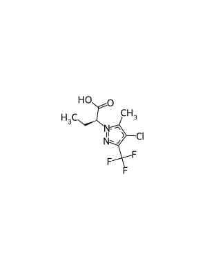 CC[C@@H](C(=O)O)n1nc(C(F)(F)F)c(Cl)c1C